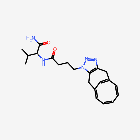 CC(C)[C@H](NC(=O)CCCn1nnc2c1C/C1=C/C=C\C=C/C(=C1)C2)C(N)=O